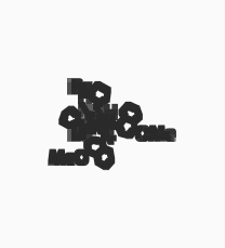 CCC(C)c1cccc(NC(=N)Nc2cccc(C(C)CC)c2)c1.COc1ccc(N(C)C(=N)N(C)c2ccc(OC)c3ccccc23)c2ccccc12